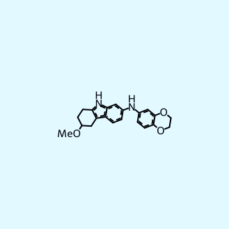 COC1CCc2[nH]c3cc(Nc4ccc5c(c4)OCCO5)ccc3c2C1